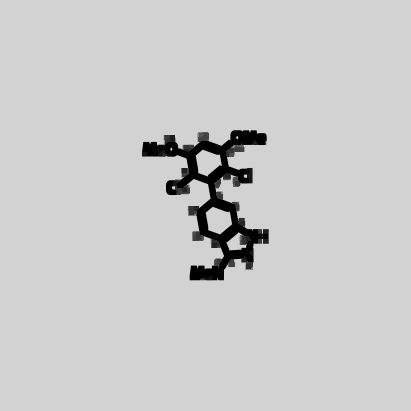 CNc1n[nH]c2cc(-c3c(Cl)c(OC)cc(OC)c3Cl)ccc12